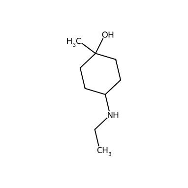 CCNC1CCC(C)(O)CC1